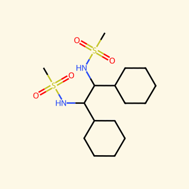 CS(=O)(=O)NC(C1CCCCC1)C(NS(C)(=O)=O)C1CCCCC1